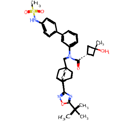 CC(C)(C)c1nc(C23CCC(CN(c4cccc(-c5ccc(NS(C)(=O)=O)cc5)c4)C(=O)[C@H]4C[C@@](C)(O)C4)(CC2)CC3)no1